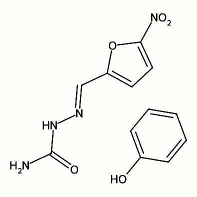 NC(=O)N/N=C/c1ccc([N+](=O)[O-])o1.Oc1ccccc1